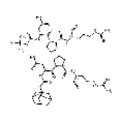 CC(C)(C)OC(=O)N[C@H](CC(=O)O)C(=O)N1CCC[C@H]1C(=O)N[C@H](C=O)CCCNC(=N)N.N=C(N)NCCC[C@@H](C=O)NC(=O)[C@@H]1CCCN1C(=O)[C@H](CC(=O)O)NC(=O)OC12CC3CC(CC(C3)C1)C2